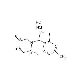 CC(C)C(c1ccc(C(F)(F)F)cc1F)N1C[C@H](C)NC[C@H]1C.Cl.Cl